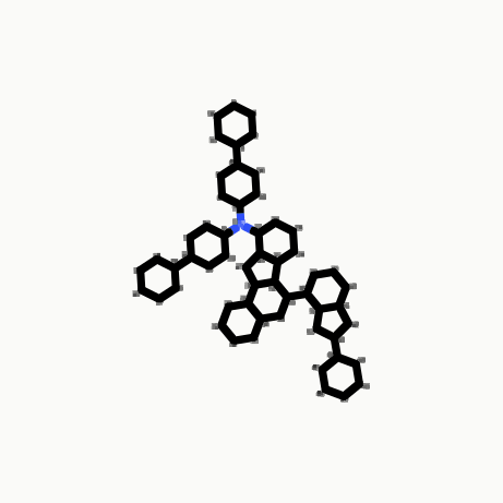 C1CCC(C2CCC(N(C3CCC(C4CCCCC4)CC3)C3CCCC4C3CC3C5CCCCC5CC(C5CCCC6CC(C7CCCCC7)CC65)C34)CC2)CC1